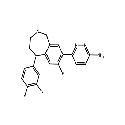 Nc1ccc(-c2cc3c(cc2F)C(c2ccc(F)c(F)c2)CCNC3)nn1